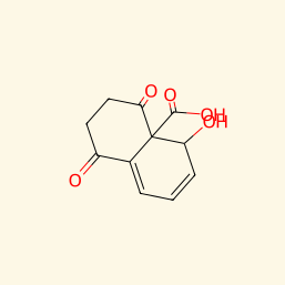 O=C1CCC(=O)C2(C(=O)O)C1=CC=CC2O